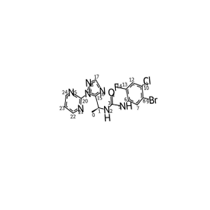 C[C@H](NC(=O)Nc1cc(Br)c(Cl)cc1F)c1ncnn1-c1ncccn1